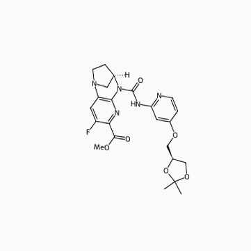 COC(=O)c1nc2c(cc1F)N1CC[C@H](C1)N2C(=O)Nc1cc(OC[C@H]2COC(C)(C)O2)ccn1